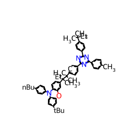 CCCCc1ccc(N2c3ccc(C(C)(C)C)cc3Oc3cc(C(C)(CC)C(C)(C)c4ccc(-c5nc(-c6ccc(C)cc6)nc(-c6ccc(C(C)(C)CC)cc6)n5)cc4)ccc32)cc1